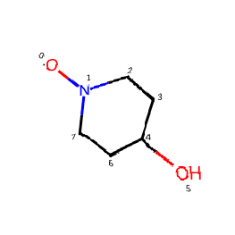 [O]N1CCC(O)CC1